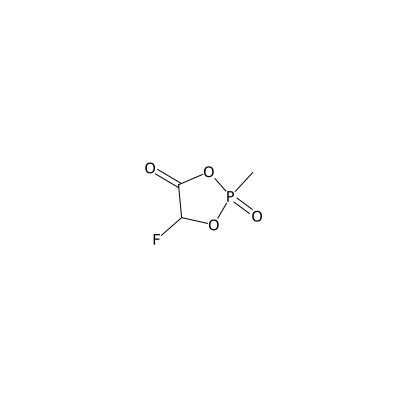 CP1(=O)OC(=O)C(F)O1